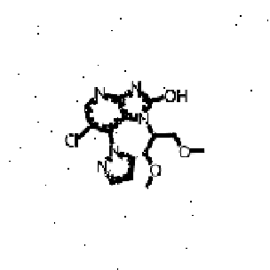 COCC(COC)n1c(O)nc2ncc(Cl)c(-n3cccn3)c21